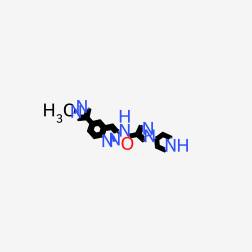 Cn1cc(-c2ccc3nnc(NC(=O)c4cnn(C5CCNCC5)c4)cc3c2)cn1